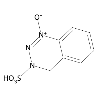 O=S(=O)(O)N1Cc2ccccc2[N+]([O-])=N1